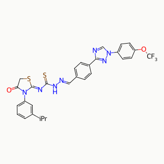 CC(C)c1cccc(N2C(=O)CS/C2=N\C(=S)N/N=C/c2ccc(-c3ncn(-c4ccc(OC(F)(F)F)cc4)n3)cc2)c1